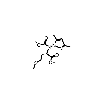 COC(=O)N([C@@H](CCSC)C(=O)O)n1nc(C)cc1C